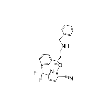 N#Cc1ccc(C(F)(F)F)nc1O[C@H](CCNCc1ccccc1)c1ccccc1